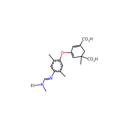 CCN(C)/C=N/c1cc(C)c(OC2=CC(C)(C(=O)O)CC(C(=O)O)=C2)cc1C